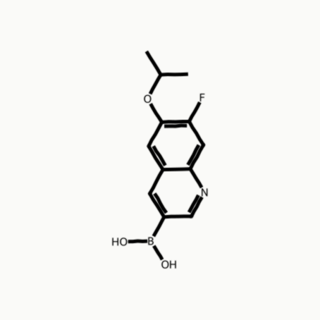 CC(C)Oc1cc2cc(B(O)O)cnc2cc1F